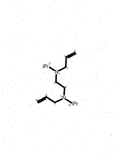 C=CCN(CCN(CC=C)C(C)C)C(C)C